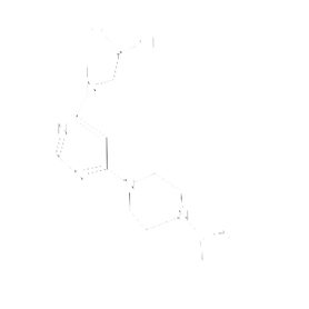 C[S+]([O-])N1CCN(c2cc(NCC(=O)O)ncn2)CC1